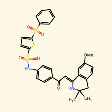 COc1ccc2c(c1)C(=CC(=O)c1ccc(NS(=O)(=O)c3ccc(S(=O)(=O)c4ccccc4)s3)cc1)NC(C)(C)C2